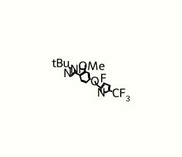 COc1cc(OCc2ncc(C(F)(F)F)cc2F)ccc1-c1cnc(C(C)(C)C)[nH]1